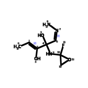 C/C=C(\O)C(O)(/C=N\N)NC1(F)CO1